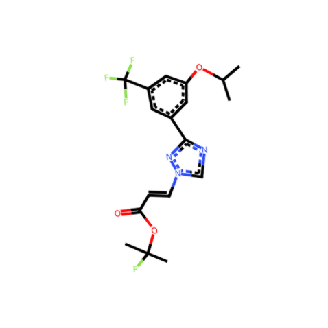 CC(C)Oc1cc(-c2ncn(C=CC(=O)OC(C)(C)F)n2)cc(C(F)(F)F)c1